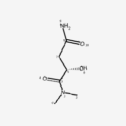 CN(C)C(=O)[C@@H](O)CC(N)=O